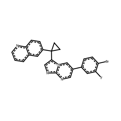 Fc1cc(-c2cnc3ncc(C4(c5ccc6ncccc6c5)CC4)n3c2)ccc1Br